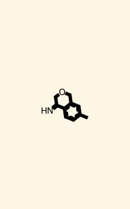 Cc1ccc2c(c1)COCC2=N